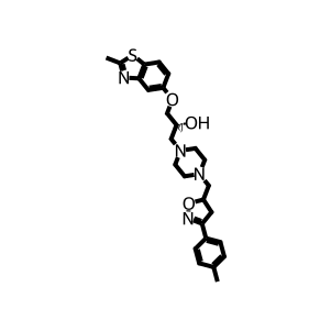 Cc1ccc(C2=NOC(CN3CCN(C[C@@H](O)COc4ccc5sc(C)nc5c4)CC3)C2)cc1